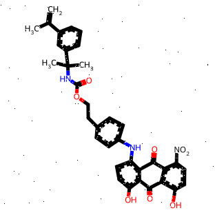 C=C(C)c1cccc(C(C)(C)NC(=O)OCCc2ccc(Nc3ccc(O)c4c3C(=O)c3c([N+](=O)[O-])ccc(O)c3C4=O)cc2)c1